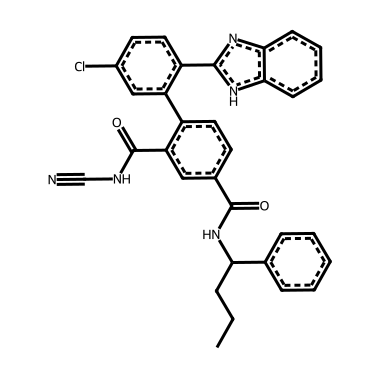 CCCC(NC(=O)c1ccc(-c2cc(Cl)ccc2-c2nc3ccccc3[nH]2)c(C(=O)NC#N)c1)c1ccccc1